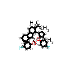 CC1=CCC(c2c3c(ccc2=C(C)C)=c2ccccc2=[C]3[Zr]([O]c2ccc(F)cc2)[O]c2ccc(F)cc2)=C1